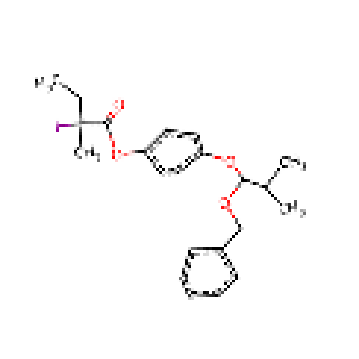 CCC(C)(I)C(=O)Oc1ccc(OC(OCc2ccccc2)C(C)C)cc1